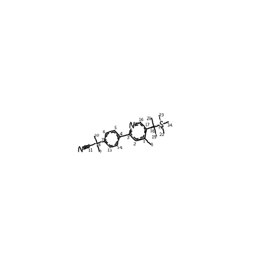 Cc1cc(-c2ccc(C(C)(C)C#N)cc2)ncc1C(C)(C)S(C)(C)C